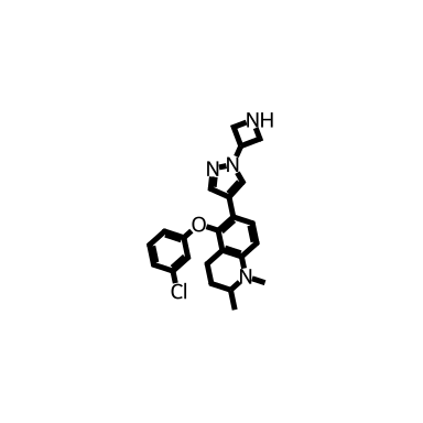 CC1CCc2c(ccc(-c3cnn(C4CNC4)c3)c2Oc2cccc(Cl)c2)N1C